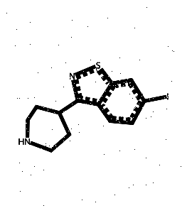 Ic1ccc2c(C3CCNCC3)nsc2c1